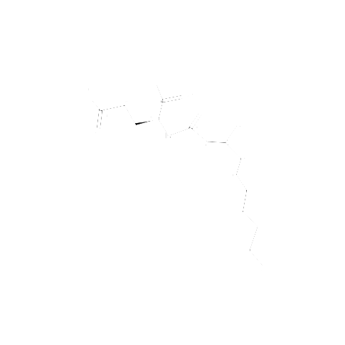 CCCCCCCC(C)CC(=O)N[C@@H](CCC(=O)O)C(=O)O